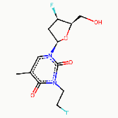 Cc1cn([C@H]2C[C@@H](F)[C@@H](CO)O2)c(=O)n(CCF)c1=O